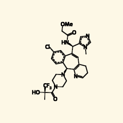 COCC(=O)N[C@H](C1=CC2=C(N=CCC2)[C@@H](N2CCN(C(=O)[C@](C)(O)C(F)(F)F)CC2)c2ccc(Cl)cc21)c1cncn1C